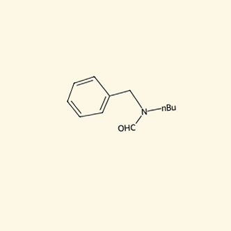 CCCCN(C=O)Cc1ccccc1